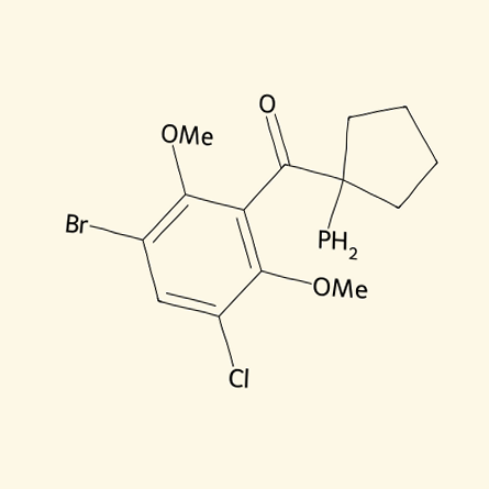 COc1c(Cl)cc(Br)c(OC)c1C(=O)C1(P)CCCC1